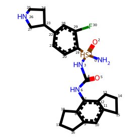 N[SH](=O)(NC(=O)Nc1c2c(cc3c1CCC3)CCC2)c1ccc(C2CCNC2)cc1F